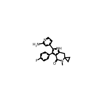 CN1C(=O)c2c([nH]c(-c3ccnc(N)c3)c2-c2ccc(F)cc2)CC12CC2